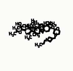 CCCN1CC(CN2CCO[C@@H](O[C@H]3CC[C@]45CC46CC[C@]4(C)[C@@H]7[C@H](O[C@@H]([C@H](OCC)C(C)(C)O)C[C@H]7C)[C@H](O)[C@@]4(C)[C@@H]6CC[C@H]5C3(C)C)C2)C1